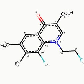 Cc1cc2c(=O)c(C(=O)O)cn(CCF)c2c(F)c1C(C)C